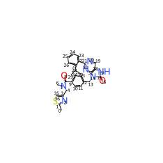 Cc1nc(CN(C)C(=O)c2ccc(Cn3c(=O)[nH]c4cnc(-c5ccccc5C(C)C)nc43)cc2)cs1